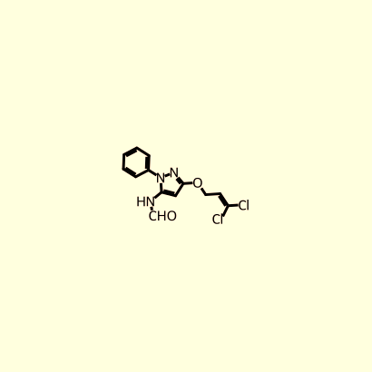 O=CNc1cc(OCC=C(Cl)Cl)nn1-c1ccccc1